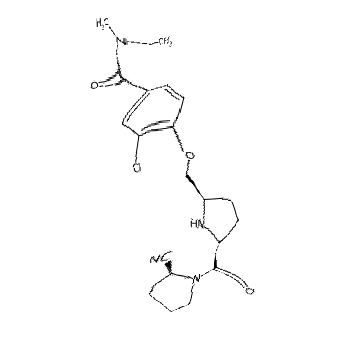 CN(C)C(=O)c1ccc(OC[C@H]2CC[C@@H](C(=O)N3CCC[C@H]3C#N)N2)c(Cl)c1